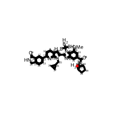 BC(B)(B)n1c(-c2cc3ccc(-c4ccc5c(c4)C(=O)NC5)nc3n2CC2CC2)nc2cc(C(=O)N3CC4CCC3[C@@H]4N)cc(OC)c21